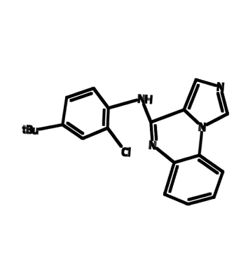 CC(C)(C)c1ccc(Nc2nc3ccccc3n3cncc23)c(Cl)c1